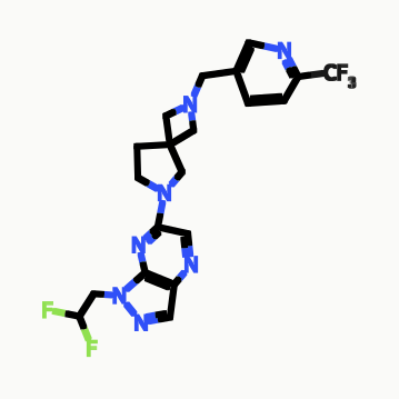 FC(F)Cn1ncc2ncc(N3CCC4(CN(Cc5ccc(C(F)(F)F)nc5)C4)C3)nc21